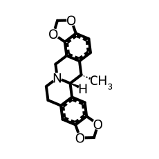 C[C@H]1c2ccc3c(c2CN2CCc4cc5c(cc4[C@@H]12)OCO5)OCO3